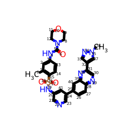 Cc1cc(NC(=O)N2CCOCC2)ccc1S(=O)(=O)Nc1cncc(-c2ccc3ncc(-c4cnn(C)c4)nc3c2)c1